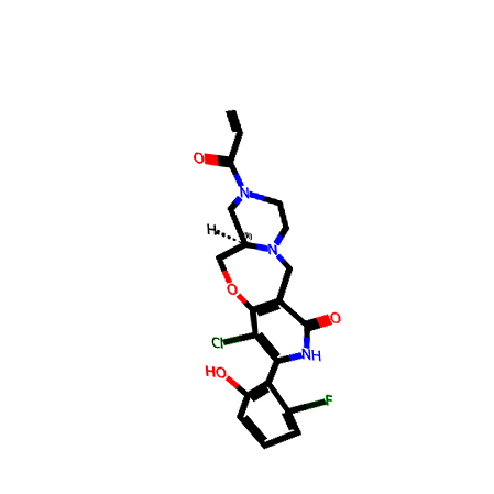 C=CC(=O)N1CCN2Cc3c(c(Cl)c(-c4c(O)cccc4F)[nH]c3=O)OC[C@H]2C1